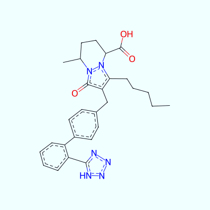 CCCCCc1c(Cc2ccc(-c3ccccc3-c3nnn[nH]3)cc2)c(=O)n2n1C(C(=O)O)CCC2C